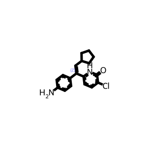 Nc1ccc(/C(=C/C2CCCC2)c2ccc(Cl)c(=O)[nH]2)cc1